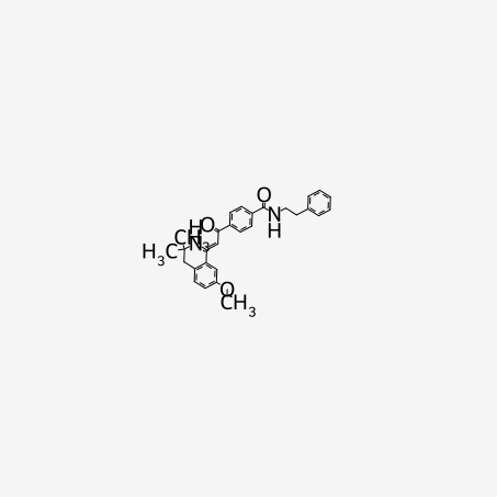 COc1ccc2c(c1)/C(=C/C(=O)c1ccc(C(=O)NCCc3ccccc3)cc1)NC(C)(C)C2